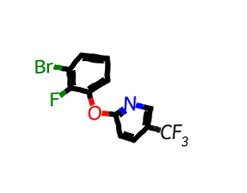 Fc1c(Br)cccc1Oc1ccc(C(F)(F)F)cn1